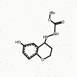 CC(C)(C)OC(=O)NNC1CCOc2ccc(O)cc21